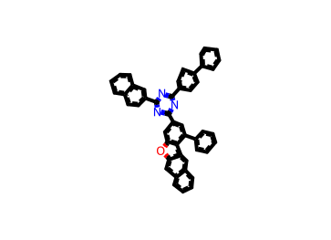 c1ccc(-c2ccc(-c3nc(-c4ccc5ccccc5c4)nc(-c4cc(-c5ccccc5)c5c(c4)oc4cc6ccccc6cc45)n3)cc2)cc1